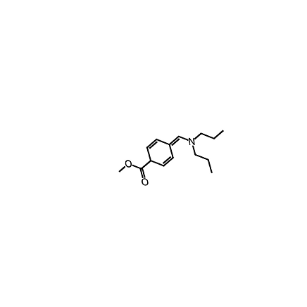 CCCN(C=C1C=CC(C(=O)OC)C=C1)CCC